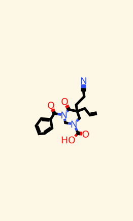 C=CCC1(CCC#N)CN(C(=O)O)CN(C(=O)c2ccccc2)C1=O